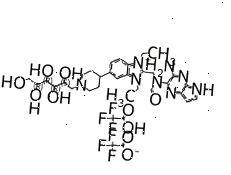 CCn1c(CN(C=O)c2nc3cc[nH]c3nc2N)[n+](CC)c2ccc(C3CCN(C[C@H](O)[C@@H](O)[C@H](O)[C@H](O)CO)CC3)cc21.O=C(O)C(F)(F)F.O=C([O-])C(F)(F)F